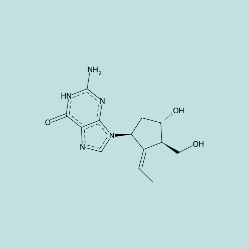 CC=C1[C@H](CO)[C@@H](O)C[C@@H]1n1cnc2c(=O)[nH]c(N)nc21